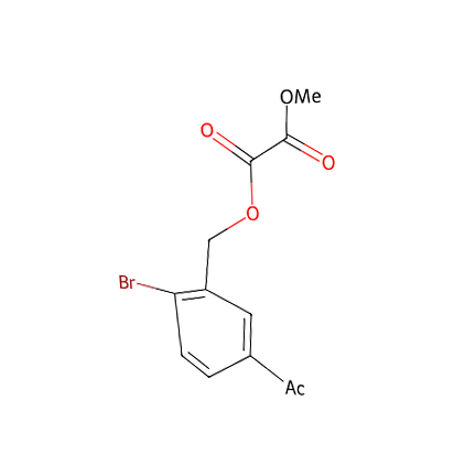 COC(=O)C(=O)OCc1cc(C(C)=O)ccc1Br